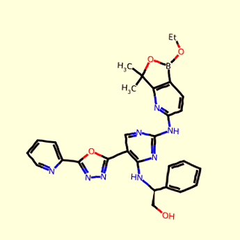 CCOB1OC(C)(C)c2nc(Nc3ncc(-c4nnc(-c5ccccn5)o4)c(N[C@H](CO)c4ccccc4)n3)ccc21